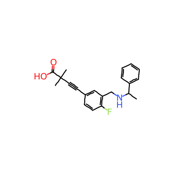 CC(NCc1cc(C#CC(C)(C)C(=O)O)ccc1F)c1ccccc1